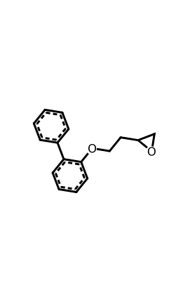 c1ccc(-c2ccccc2OCCC2CO2)cc1